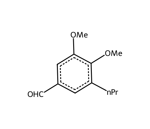 CCCc1cc(C=O)cc(OC)c1OC